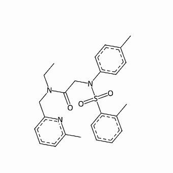 CCN(Cc1cccc(C)n1)C(=O)CN(c1ccc(C)cc1)S(=O)(=O)c1ccccc1C